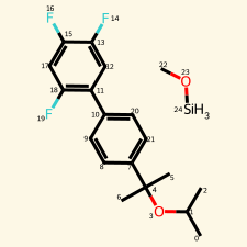 CC(C)OC(C)(C)c1ccc(-c2cc(F)c(F)cc2F)cc1.CO[SiH3]